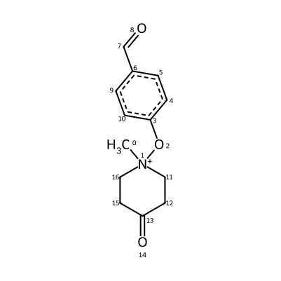 C[N+]1(Oc2ccc(C=O)cc2)CCC(=O)CC1